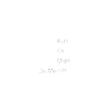 [BaH+].[Cu].[MgH2].[Mn].[OH-].[Zn]